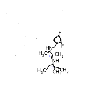 C=C/C(C)=C(/CCC)N/C=C(\C)C(=C)NCc1ccc(F)cc1F